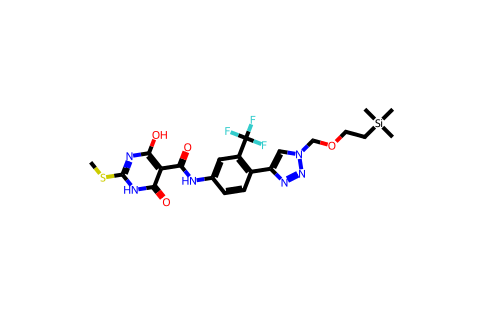 CSc1nc(O)c(C(=O)Nc2ccc(-c3cn(COCC[Si](C)(C)C)nn3)c(C(F)(F)F)c2)c(=O)[nH]1